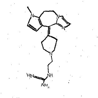 Cn1ccc2c1CCn1ccnc1C2=C1CCN(CCNC(=N)N)CC1